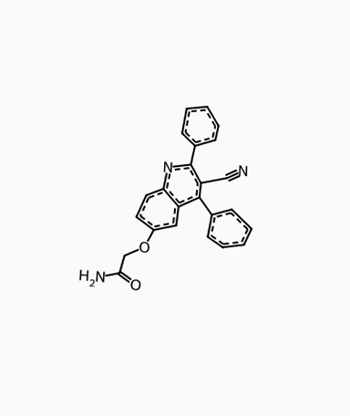 N#Cc1c(-c2ccccc2)nc2ccc(OCC(N)=O)cc2c1-c1ccccc1